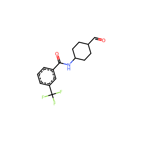 O=CC1CCC(NC(=O)c2cccc(C(F)(F)F)c2)CC1